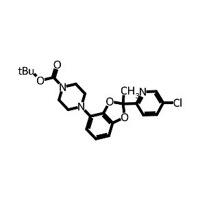 CC(C)(C)OC(=O)N1CCN(c2cccc3c2OC(C)(c2ccc(Cl)cn2)O3)CC1